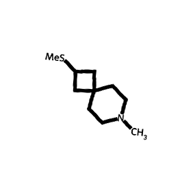 CSC1CC2(CCN(C)CC2)C1